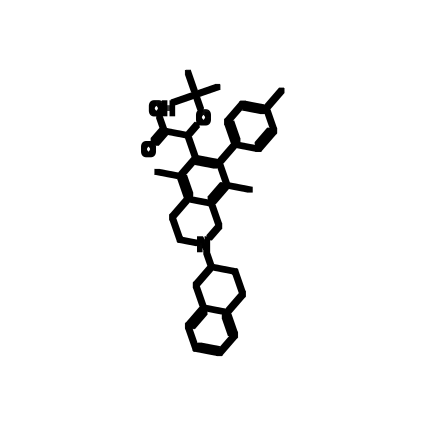 Cc1ccc(-c2c(C)c3c(c(C)c2C(OC(C)(C)C)C(=O)O)CCN(C2CCc4ccccc4C2)C3)cc1